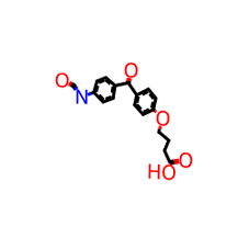 O=C=Nc1ccc(C(=O)c2ccc(OCCCC(=O)O)cc2)cc1